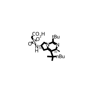 CCCCC(C)(C)C1=C2C[C@H](NS(=O)(=O)CC(=O)O)CN2C(C(C)(C)C)=N[C@H]1C